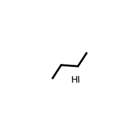 CCCC.I